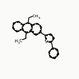 CCc1c2ccccc2c(CC)c2cc(-c3ccc(-c4ccccc4)s3)ccc12